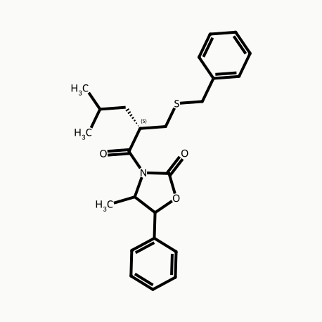 CC(C)C[C@H](CSCc1ccccc1)C(=O)N1C(=O)OC(c2ccccc2)C1C